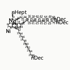 CCCCCCCC#CC(=Nc1cccc(C#CCCCCCCCCCCCCCCCCCCCCCCCCC)c1)C(C#CCCCCCCCCCCCCCCCCCCCCCCCCCCC)=Nc1cccc(C#CCCCCCCCCCCCCCCCCCCCCCCCCC)c1.[Ni]